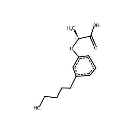 C[C@H](Oc1cccc(CCCCO)c1)C(=O)O